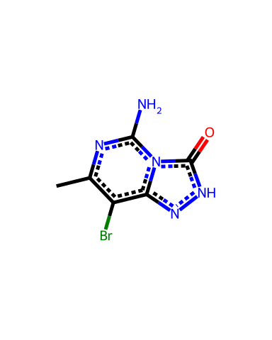 Cc1nc(N)n2c(=O)[nH]nc2c1Br